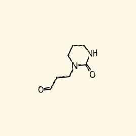 O=CCCN1CCCNC1=O